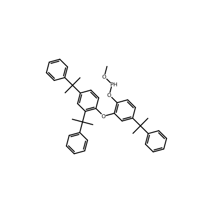 COPOc1ccc(C(C)(C)c2ccccc2)cc1Oc1ccc(C(C)(C)c2ccccc2)cc1C(C)(C)c1ccccc1